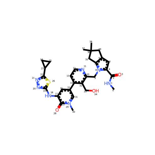 CNC(=O)c1cc2c(n1Cc1nccc(-c3cc(Nc4nnc(C5CC5)s4)c(=O)n(C)c3)c1CO)CC(C)(C)C2